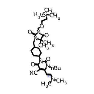 CCCCn1c(/C=C/N(C)C)c(C#N)c(=O)n(C2CCC(CN3C(=O)N(COCC[Si](C)(C)C)C(=O)C3(C)C)CC2)c1=O